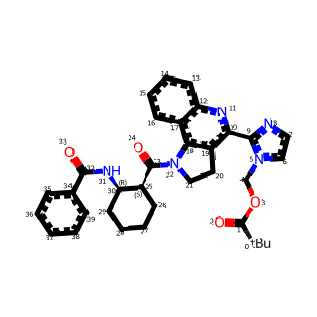 CC(C)(C)C(=O)OCn1ccnc1-c1nc2ccccc2c2c1CCN2C(=O)[C@H]1CCCC[C@H]1NC(=O)c1ccccc1